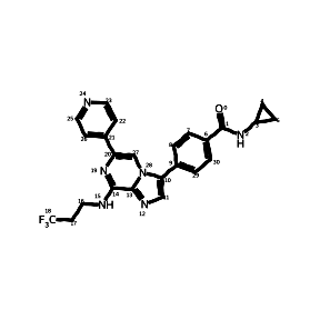 O=C(NC1CC1)c1ccc(-c2cnc3c(NCCC(F)(F)F)nc(-c4ccncc4)cn23)cc1